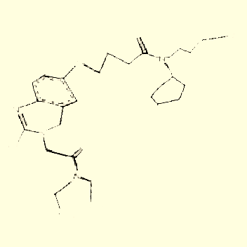 CCCCN(C(=O)CCCOc1ccc2c(c1)CN(CC(=O)N(CC)CC)C(N)=N2)C1CCCC1